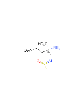 CSCC[C@](C)(N)C(=O)O.N=[SH2]=O